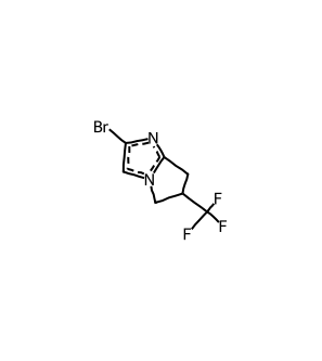 FC(F)(F)C1Cc2nc(Br)cn2C1